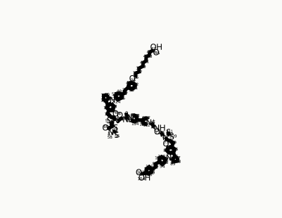 CC(NC(=O)Cn1c(=O)/c(=C\c2ccc3c(c2)C2CCCC2N3c2ccc(/C=C/c3cccc(OCCCCCCCCCCC(=O)O)c3)cc2)s/c1=C1/SC(=S)N(C)C1=O)[n+]1ccc(-c2cc[n+](CCNOCCN3C(=O)/C(=C\c4ccc5c(c4)C4CCCC4N5c4ccc(/C=C/c5ccc(C(=O)O)cc5)cc4)SC3=S)cc2)cc1